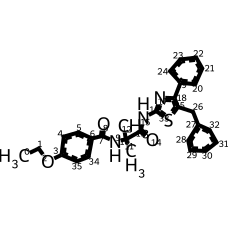 CCOc1ccc(C(=O)NC(C)(C)C(=O)Nc2nc(-c3ccccc3)c(Cc3ccccc3)s2)cc1